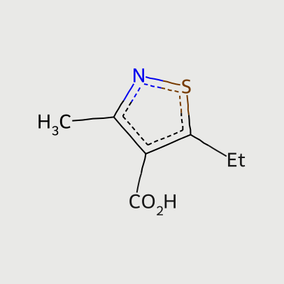 CCc1snc(C)c1C(=O)O